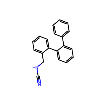 N#CNCc1ccccc1-c1ccccc1-c1ccccc1